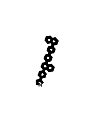 C1=CC2C=CCCC2C(C2=CC=C(C3CCC(C4CCC(C5C=CC(C6C=NCC6)CC5)C5CCCCC45)CC3)CC2)=C1